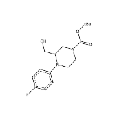 CC(C)(C)OC(=O)N1CCN(c2ccc(F)cc2)C(CO)C1